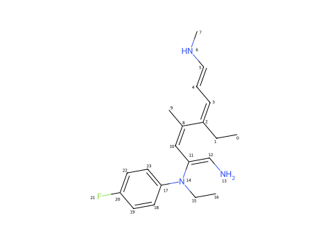 CCC(=C/C=C/NC)/C(C)=C\C(=C\N)N(CC)c1ccc(F)cc1